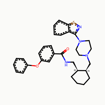 O=C(NC[C@@H]1CCCC[C@@H]1CN1CCN(c2nsc3ccccc23)CC1)c1cccc(Oc2ccccc2)c1